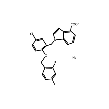 O=C([O-])c1cccc2c1ccn2Cc1cc(Cl)ccc1OCc1ccc(F)cc1F.[Na+]